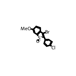 COc1ccc2c(Br)c(-c3ccc(Cl)cc3)[s+]([O-])c2c1